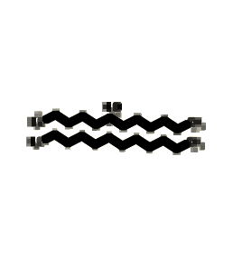 CCCCCCCCCCCC.CCCCCCCCCCCC.O